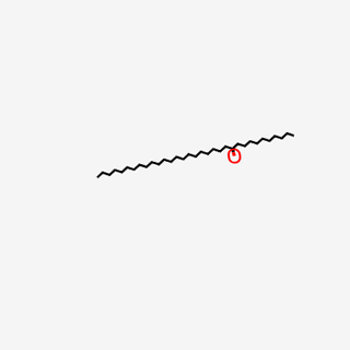 CCCCCCCCCCCCCCCCCCCCCCC(=O)CCCCCCCCCC